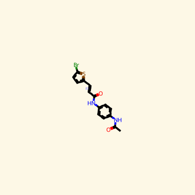 CC(=O)Nc1ccc(NC(=O)/C=C/c2ccc(Br)s2)cc1